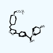 CCCN1CCN(C(=N)c2ccc(C3=NOC(CC4CCN(CC(=O)O)CC4)C3)cc2)CC1